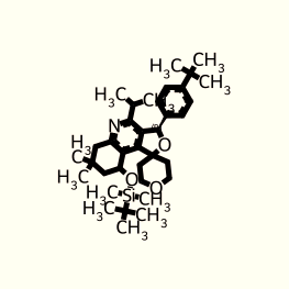 CC(C)c1nc2c(c3c1[C@@H](c1ccc(C(C)(C)C)cc1)OC31CCOCC1)C(O[Si](C)(C)C(C)(C)C)CC(C)(C)C2